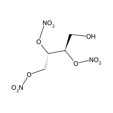 O=[N+]([O-])OC[C@H](O[N+](=O)[O-])[C@@H](CO)O[N+](=O)[O-]